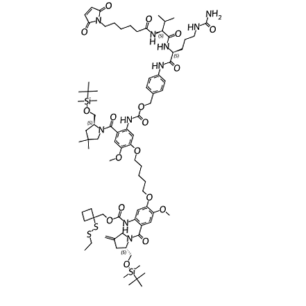 C=C1C[C@@H](CO[Si](C)(C)C(C)(C)C)N(C(=O)c2cc(OC)c(OCCCCCOc3cc(NC(=O)OCc4ccc(NC(=O)[C@H](CCCNC(N)=O)NC(=O)[C@@H](NC(=O)CCCCCN5C(=O)C=CC5=O)C(C)C)cc4)c(C(=O)N4CC(C)(C)C[C@H]4CO[Si](C)(C)C(C)(C)C)cc3OC)cc2NC(=O)OCC2(SSCC)CCC2)C1